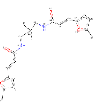 Cc1ccc(C=CC(=O)NCC(C)(C)CNC(=O)C=Cc2ccc(C)o2)o1